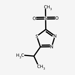 CC(C)c1nnc(S(C)(=O)=O)s1